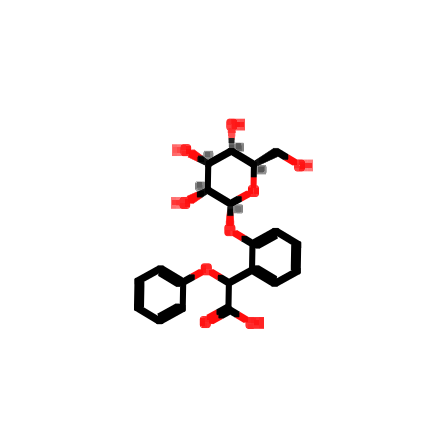 O=C(O)C(Oc1ccccc1)c1ccccc1O[C@@H]1O[C@H](CO)[C@@H](O)[C@H](O)[C@@H]1O